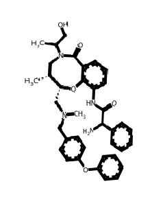 CC(CO)N1C[C@@H](C)[C@@H](CN(C)Cc2ccc(Oc3ccccc3)cc2)Oc2c(NC(=O)C(N)c3ccccc3)cccc2C1=O